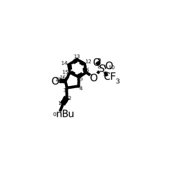 CCCCC#CC1Cc2c(OS(=O)(=O)C(F)(F)F)cccc2C1=O